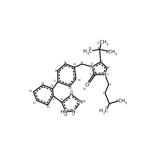 CC(C)CCn1cc(C(C)(C)C)n(Cc2ccc(-c3ccccc3-c3nnn[nH]3)cc2)c1=O